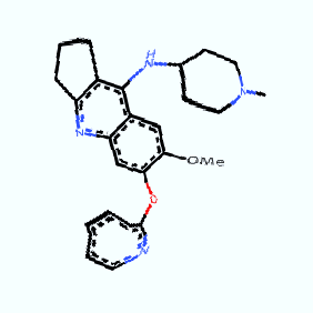 COc1cc2c(NC3CCN(C)CC3)c3c(nc2cc1Oc1ccccn1)CCC3